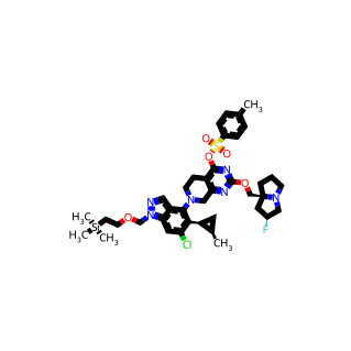 Cc1ccc(S(=O)(=O)Oc2nc(OC[C@@]34CCCN3C[C@H](F)C4)nc3c2CCN(c2c([C@H]4C[C@H]4C)c(Cl)cc4c2cnn4COCC[Si](C)(C)C)C3)cc1